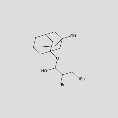 CC(C)(C)CC(C(O)OC12CC3CC(CC(O)(C3)C1)C2)C(C)(C)C